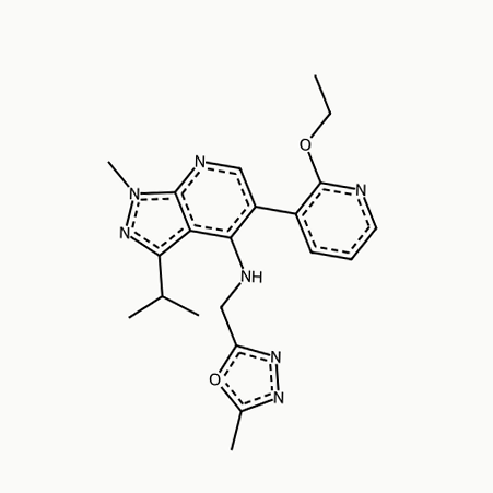 CCOc1ncccc1-c1cnc2c(c(C(C)C)nn2C)c1NCc1nnc(C)o1